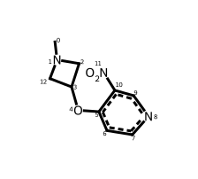 CN1CC(Oc2ccncc2[N+](=O)[O-])C1